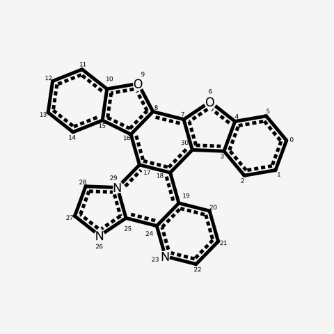 c1ccc2c(c1)oc1c3oc4ccccc4c3c3c(c4cccnc4c4nccn43)c21